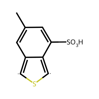 Cc1cc(S(=O)(=O)O)c2[c]s[c]c2c1